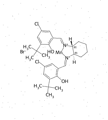 CC(C)(C)c1cc(Cl)cc(C=[N+]2[Mn][N+](=Cc3cc(Cl)cc(C(C)(C)C)c3O)[C@@H]3CCCC[C@H]32)c1O.[Br-]